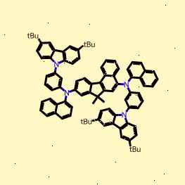 CC(C)(C)c1ccc2c(c1)c1cc(C(C)(C)C)ccc1n2-c1cccc(N(c2ccc3c(c2)C(C)(C)c2cc(N(c4cccc(-n5c6ccc(C(C)(C)C)cc6c6cc(C(C)(C)C)ccc65)c4)c4cccc5ccccc45)c4ccccc4c2-3)c2cccc3ccccc23)c1